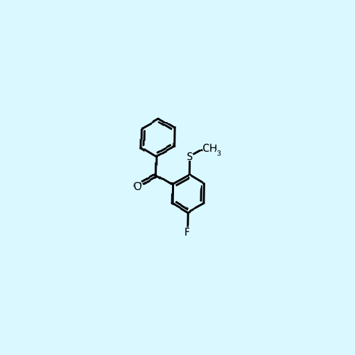 CSc1ccc(F)cc1C(=O)c1ccccc1